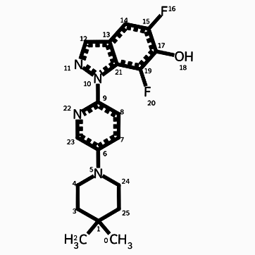 CC1(C)CCN(c2ccc(-n3ncc4cc(F)c(O)c(F)c43)nc2)CC1